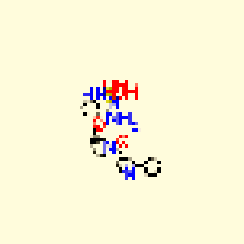 NC1=NS(O)(O)Nc2cccc(OC[C@H]3CCCN(C(=O)c4ccnc(-c5ccccc5)c4)C3)c21